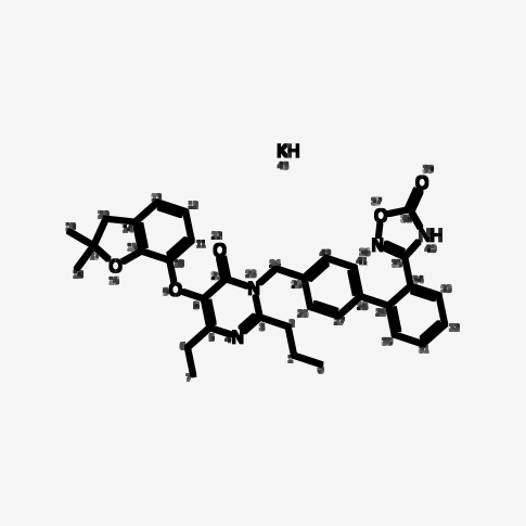 CCCc1nc(CC)c(Oc2cccc3c2OC(C)(C)C3)c(=O)n1Cc1ccc(-c2ccccc2-c2noc(=O)[nH]2)cc1.[KH]